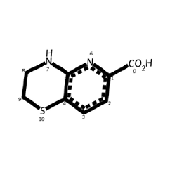 O=C(O)c1ccc2c(n1)NCCS2